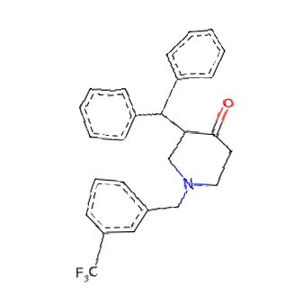 O=C1CCN(Cc2cccc(C(F)(F)F)c2)CC1C(c1ccccc1)c1ccccc1